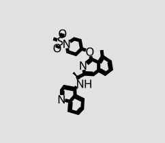 Cc1cccc2cc([C@H](C)Nc3ccnc4ccccc34)nc(OC3CCN(S(C)(=O)=O)CC3)c12